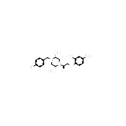 C[C@@H]1CN(Cc2ccc(F)cc2)[C@@H](C)CN1C(=O)COc1ccc(N)cc1[N+](=O)[O-]